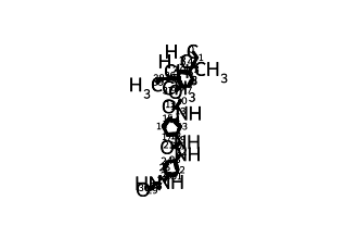 CCC(C)(C)c1ccc(OCC(=O)Nc2cccc(NC(=O)Nc3ccc(NNC=O)cc3)c2)c(C(C)(C)CC)c1